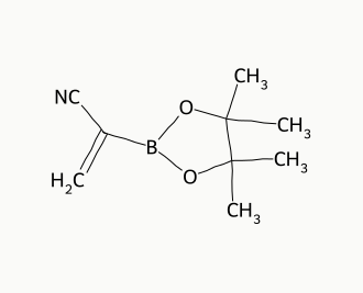 C=C(C#N)B1OC(C)(C)C(C)(C)O1